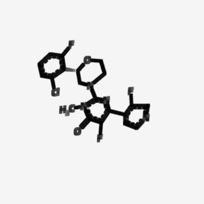 Cn1c(N2CCO[C@@H](c3c(F)cccc3Cl)C2)nc(-c2ccncc2F)c(F)c1=O